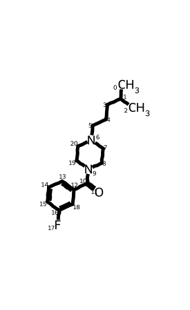 CC(C)CCCN1CCN(C(=O)c2cccc(F)c2)CC1